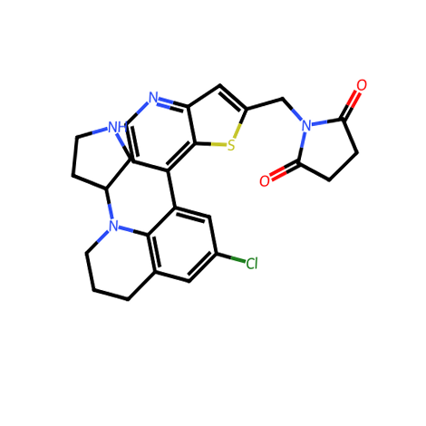 O=C1CCC(=O)N1Cc1cc2nccc(-c3cc(Cl)cc4c3N(C3CCNC3)CCC4)c2s1